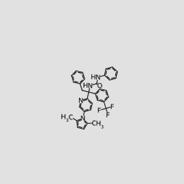 Cc1ccc(C)n1-c1ccc(C(Cc2ccccc2)(NC(=O)Nc2ccccc2)c2cccc(C(F)(F)F)c2)nc1